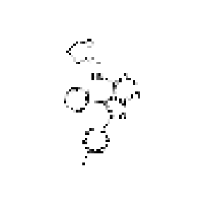 Cc1ccc(-c2oc3ncnc(NC[C@@H]4CCCO4)c3c2-c2ccccc2)cc1